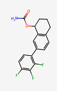 NC(=O)OC1CCCc2ccc(-c3ccc(F)c(F)c3F)cc21